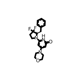 O=c1cc(N2CCOCC2)cc(N2CCC(F)(F)[C@H]2Cc2ccccc2)[nH]1